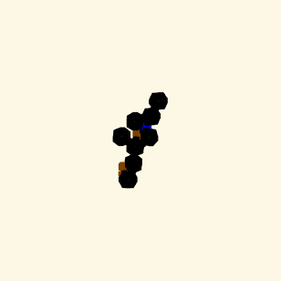 c1ccc(-c2ccc3c(c2)c2ccccc2n3-c2cccc3c2sc2c(-c4ccccc4)cc(-c4ccc5c(c4)sc4ccccc45)cc23)cc1